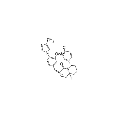 COc1cc(C=C2OC[C@H]3CCC[C@@H](c4ccc(Cl)cc4)N3C2=O)ccc1-n1cnc(C)c1